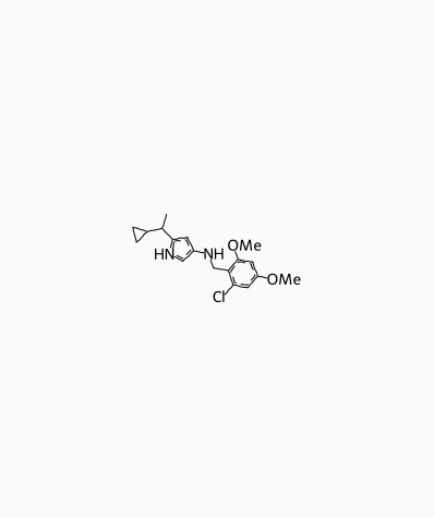 COc1cc(Cl)c(CNc2c[nH]c(C(C)C3CC3)c2)c(OC)c1